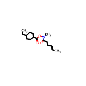 CC=CCCC(=O)N(C)OC(=O)C1CCC(CC)CC1